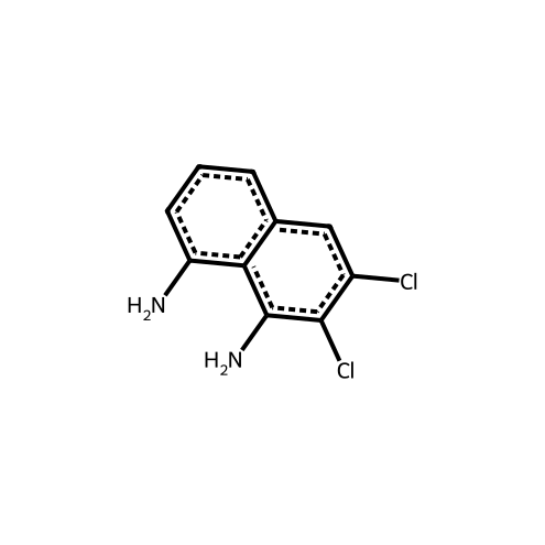 Nc1cccc2cc(Cl)c(Cl)c(N)c12